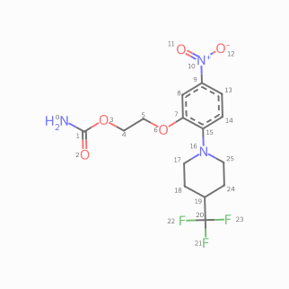 NC(=O)OCCOc1cc([N+](=O)[O-])ccc1N1CCC(C(F)(F)F)CC1